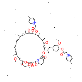 CO[C@H]1C[C@@H]2CC[C@@H](C)[C@@](O)(O2)C(=O)C(=O)N2CCCC[C@H]2C(=O)O[C@H]([C@H](C)C[C@@H]2CC[C@@H](OC(=O)C[n+]3ccc(C)cc3)[C@H](OC)C2)CC(=O)[C@H](C)/C=C(\C)[C@@H](OC(=O)C[n+]2ccc(C)cc2)[C@@H](OC)C(=O)[C@H](C)C[C@H](C)/C=C/C=C/C=C/1C